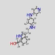 Cc1cc(Nc2ccncc2)ccc1NCCc1c[nH]c2c(C(C)(C)O)cccc12